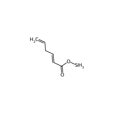 C=CCC=CC(=O)O[SiH3]